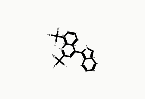 FC(F)(F)c1cc(-c2occ3ccccc23)c2cccc(C(F)(F)F)c2n1